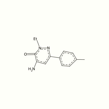 CCn1nc(-c2ccc(C)cc2)cc(N)c1=O